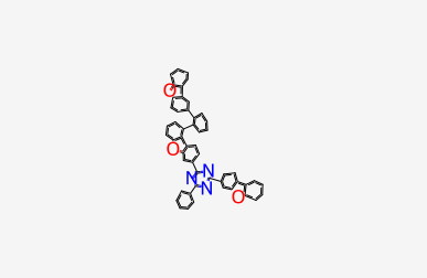 c1ccc(-c2nc(-c3ccc4c(c3)oc3ccccc34)nc(-c3ccc4c(c3)oc3cccc(-c5ccccc5-c5ccc6oc7ccccc7c6c5)c34)n2)cc1